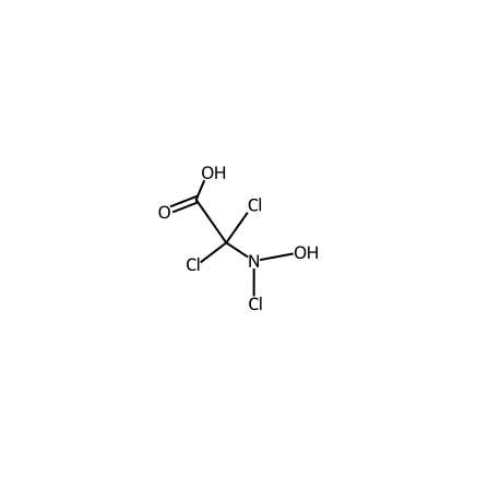 O=C(O)C(Cl)(Cl)N(O)Cl